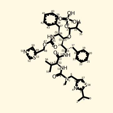 CC(C)c1nc(CN(C)C(=O)N[C@H](C(=O)N[C@@H](Cc2ccccc2)C[C@H](OC(OP(=O)(O)O)C(C)C)[C@H](Cc2ccccc2)NC(=O)OCc2cncs2)C(C)C)cs1